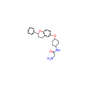 NCC(=O)NC1CCC(Oc2ccc3c(c2)CCC(c2ccccc2)O3)CC1